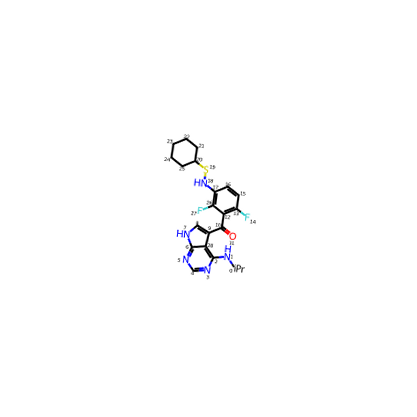 CC(C)Nc1ncnc2[nH]cc(C(=O)c3c(F)ccc(NSC4CCCCC4)c3F)c12